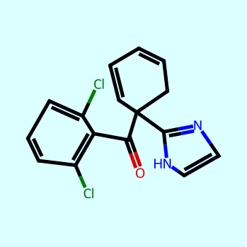 O=C(c1c(Cl)cccc1Cl)C1(c2ncc[nH]2)C=CC=CC1